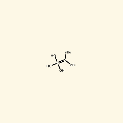 CCCCS(CCCC)=P(O)(O)O